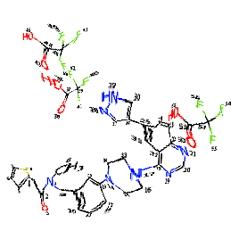 CN(C(=O)c1cccs1)c1cccc(N2CCN(c3ncnc4ccc(-c5cn[nH]c5)cc34)CC2)c1.O=C(O)C(F)(F)F.O=C(O)C(F)(F)F.O=C(O)C(F)(F)F